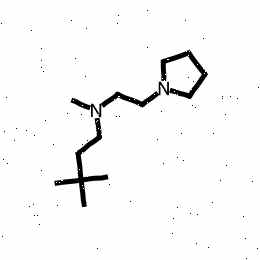 CN(CCN1CCCC1)CCC(C)(C)C